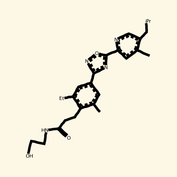 CCc1cc(-c2noc(-c3cc(C)c(CC(C)C)cn3)n2)cc(C)c1CCC(=O)NCCO